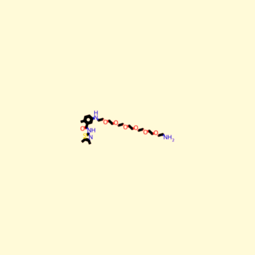 Cc1ccc(NCCOCCOCCOCCOCCOCCOCCN)cc1C(=O)Nc1nc(C)c(C)s1